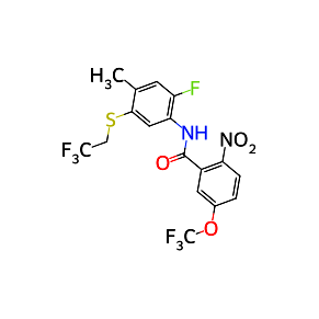 Cc1cc(F)c(NC(=O)c2cc(OC(F)(F)F)ccc2[N+](=O)[O-])cc1SCC(F)(F)F